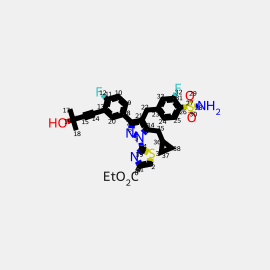 CCOC(=O)c1csc(-n2nc(-c3ccc(F)c(C#CC(C)(C)O)c3)c(Cc3ccc(S(N)(=O)=O)c(F)c3)c2CC2CC2)n1